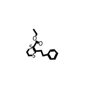 CCOC(=O)C1=C(CCc2ccccc2)SCCS1